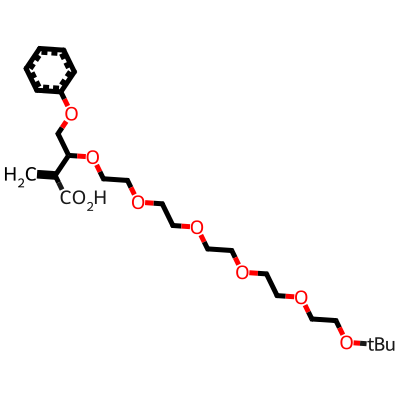 C=C(C(=O)O)C(COc1ccccc1)OCCOCCOCCOCCOCCOC(C)(C)C